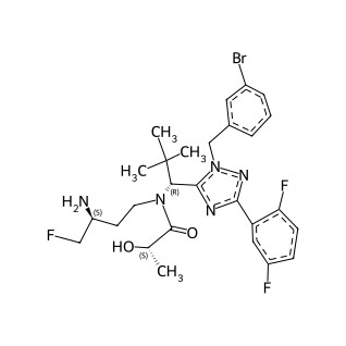 C[C@H](O)C(=O)N(CC[C@H](N)CF)[C@@H](c1nc(-c2cc(F)ccc2F)nn1Cc1cccc(Br)c1)C(C)(C)C